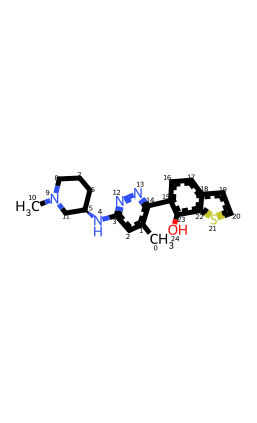 Cc1cc(N[C@@H]2CCCN(C)C2)nnc1-c1ccc2ccsc2c1O